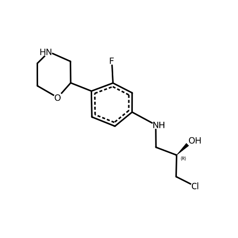 O[C@@H](CCl)CNc1ccc(C2CNCCO2)c(F)c1